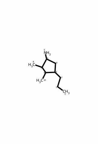 CCCC1CC(N)C(C)C1C